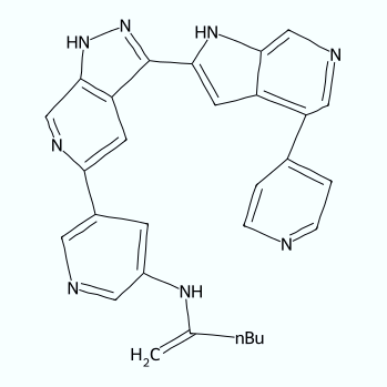 C=C(CCCC)Nc1cncc(-c2cc3c(-c4cc5c(-c6ccncc6)cncc5[nH]4)n[nH]c3cn2)c1